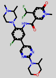 CC1CN(c2cc(F)c(-c3cnc(N4CCOCC4C)nc3)cc2NC(=O)c2cn(C)c(=O)cc2C(F)F)CCN1C